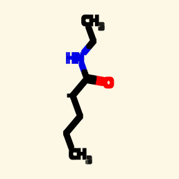 CCC[CH]C(=O)NCC